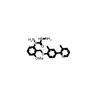 COc1cccc(N(N)C(=O)NN)c1COc1ccc(-c2ncccc2C)cc1C